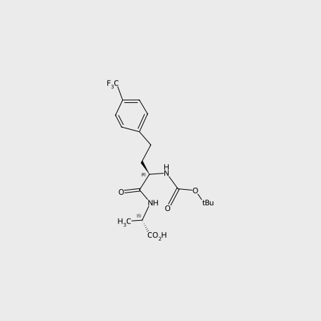 C[C@H](NC(=O)[C@@H](CCc1ccc(C(F)(F)F)cc1)NC(=O)OC(C)(C)C)C(=O)O